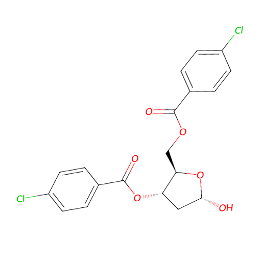 O=C(OC[C@H]1O[C@H](O)C[C@@H]1OC(=O)c1ccc(Cl)cc1)c1ccc(Cl)cc1